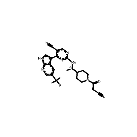 C[C@@H](Nc1ncc(C#N)c(-c2c[nH]c3ncc(C(F)(F)F)cc23)n1)C1CCN(C(=O)CC#N)CC1